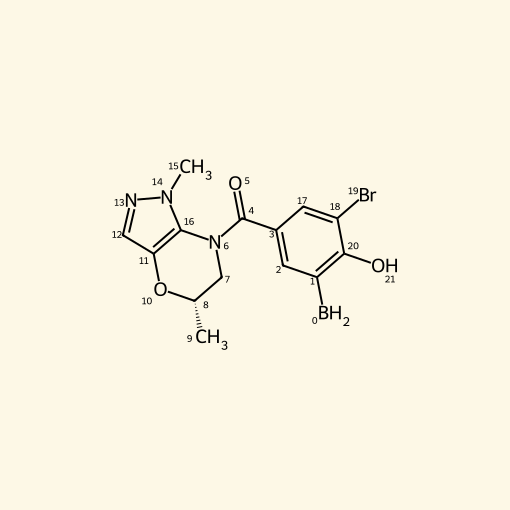 Bc1cc(C(=O)N2C[C@H](C)Oc3cnn(C)c32)cc(Br)c1O